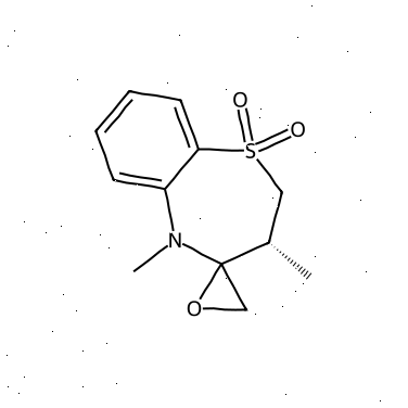 C[C@H]1CS(=O)(=O)c2ccccc2N(C)C12CO2